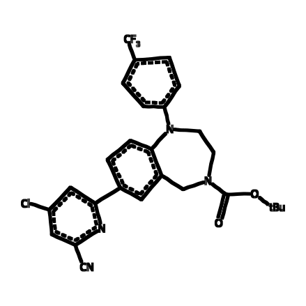 CC(C)(C)OC(=O)N1CCN(c2ccc(C(F)(F)F)cc2)c2ccc(-c3cc(Cl)cc(C#N)n3)cc2C1